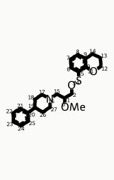 COC(COSc1cccc2c1OCCC2)CN1CCC(c2ccccc2)CC1